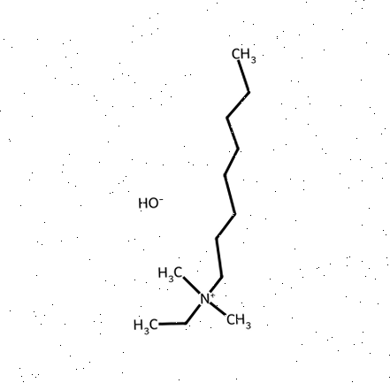 CCCCCCCC[N+](C)(C)CC.[OH-]